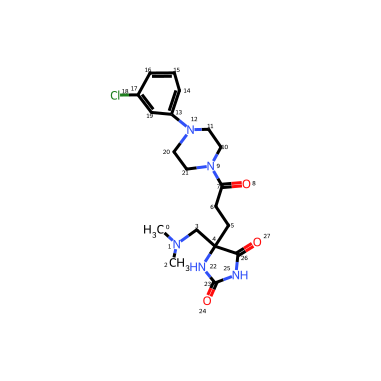 CN(C)CC1(CCC(=O)N2CCN(c3cccc(Cl)c3)CC2)NC(=O)NC1=O